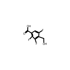 O=C(O)c1cc(F)c(CO)c(F)c1F